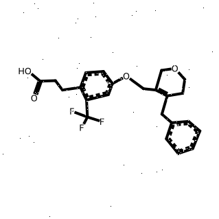 O=C(O)CCc1ccc(OCC2=C(Cc3ccccc3)CCOC2)cc1C(F)(F)F